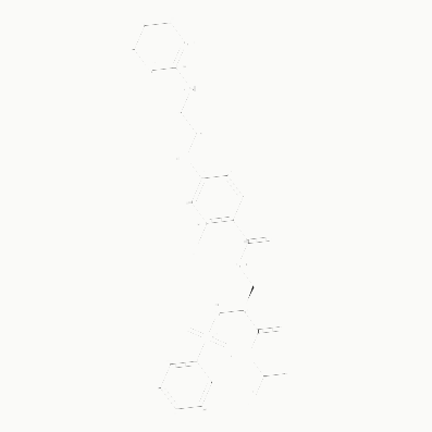 CC(C)OC(=O)[C@H](CNC(=O)c1ccc(OCCNC2=NCCCN2)cc1O)NS(=O)(=O)c1ccccc1